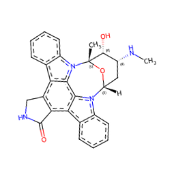 CN[C@@H]1C[C@H]2O[C@@](C)([C@@H]1O)n1c3ccccc3c3c4c(c5c6ccccc6n2c5c31)C(=O)NC4